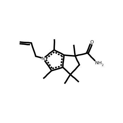 C=CCn1c(C)c2c(c1C)C(C)(C(N)=O)CC2(C)C